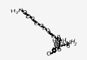 CC(C)[C@H](NC(=O)CCOCCOCCOCCOCCOCCOCCOCCOCCN)C(=O)N[C@@H](CCCNC(N)=O)C(=O)Nc1ccc(CCl)cc1